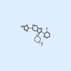 CO[C@@H]1CCC[C@@H](n2c(-c3ncccc3F)nc3cnc(-c4nc[nH]n4)cc32)C1